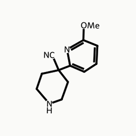 COc1cccc(C2(C#N)CCNCC2)n1